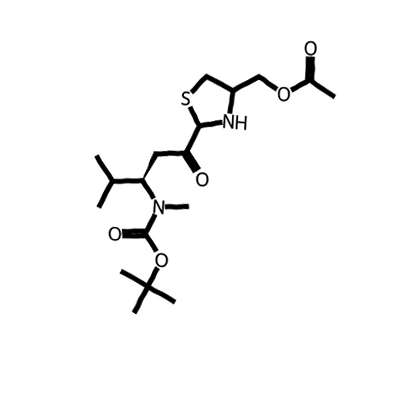 CC(=O)OCC1CSC(C(=O)C[C@H](C(C)C)N(C)C(=O)OC(C)(C)C)N1